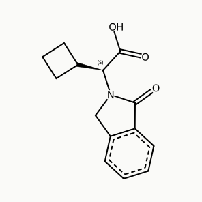 O=C(O)[C@H](C1CCC1)N1Cc2ccccc2C1=O